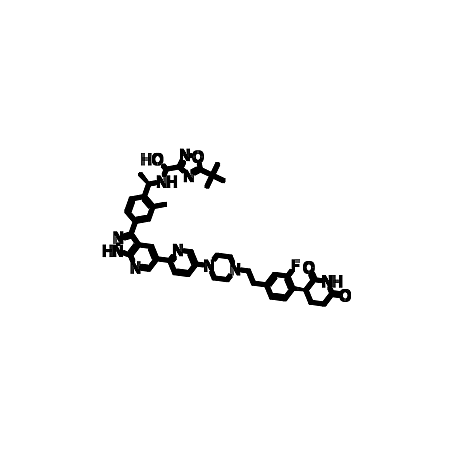 Cc1cc(-c2n[nH]c3ncc(-c4ccc(N5CCN(CCc6ccc([C@@H]7CCC(=O)NC7=O)c(F)c6)CC5)cn4)cc23)ccc1[C@@H](C)NC(O)c1noc(C(C)(C)C)n1